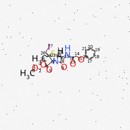 COCOC(=O)C1N2C(=O)C(NC(=O)COc3ccccc3)[C@@H]2SC1(C)CI